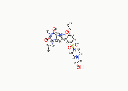 CCCOc1ccc(S(=O)(=O)N2CCN(CCO)CC2)cc1-c1cc2c([nH]1)c(=O)n(C)c(=O)n2CCC